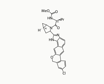 COC(=O)N[C@H](C(=O)N1C(c2nc3ccc4cc5c(cc4c3[nH]2)OCc2cc(Cl)ccc2-5)C[C@H]2CC21)C(C)C